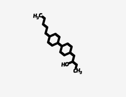 CCCCCC1CCC(C2CCC(CC(O)CC)CC2)CC1